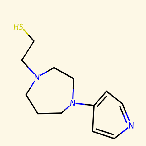 SCCN1CCCN(c2ccncc2)CC1